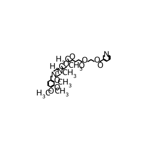 COc1ccc(CN2CCN(C(C)(C)COC(C)(C)C(=O)CCC(=O)OCCCOC(=O)c3cc#cnc3)CC2)c(OC)c1OC